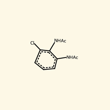 CC(=O)Nc1cccc(Cl)c1NC(C)=O